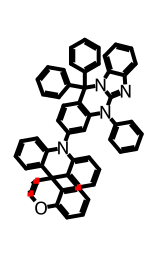 c1ccc(N2c3cc(N4c5ccccc5C5(c6ccccc6Oc6ccccc65)c5ccccc54)ccc3C(c3ccccc3)(c3ccccc3)n3c2nc2ccccc23)cc1